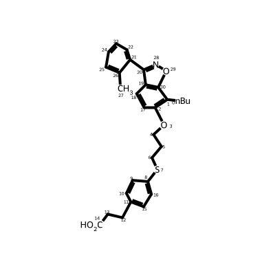 CCCCc1c(OCCCSc2ccc(CCC(=O)O)cc2)ccc2c(-c3ccccc3C)noc12